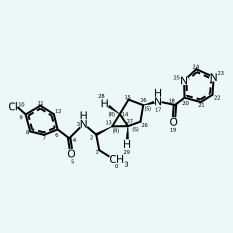 CCC(NC(=O)c1ccc(Cl)cc1)[C@H]1[C@@H]2C[C@@H](NC(=O)c3ccncn3)C[C@@H]21